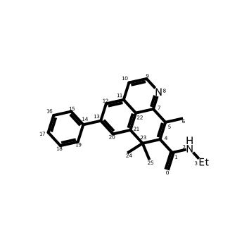 C=C(NCC)C1=C(C)c2nccc3cc(-c4ccccc4)cc(c23)C1(C)C